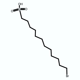 O=S(=O)(O)CCCCCCCCCCCCBr